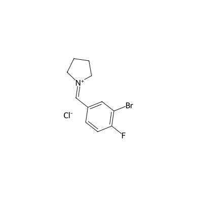 Fc1ccc(C=[N+]2CCCC2)cc1Br.[Cl-]